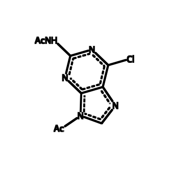 CC(=O)Nc1nc(Cl)c2ncn(C(C)=O)c2n1